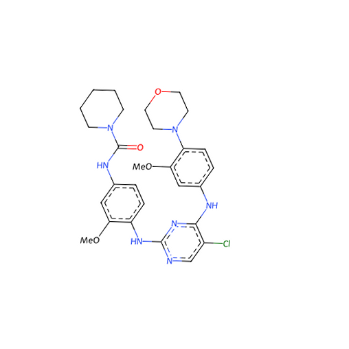 COc1cc(NC(=O)N2CCCCC2)ccc1Nc1ncc(Cl)c(Nc2ccc(N3CCOCC3)c(OC)c2)n1